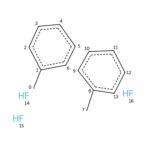 Cc1ccccc1.Cc1ccccc1.F.F.F